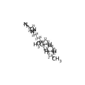 C[C@H]1CC[C@@H]2C3CC[C@@]4(C)C(CC[C@@H]4C(=O)CCCCn4cc(C#N)cn4)[C@@H]3CC[C@@H]2C1